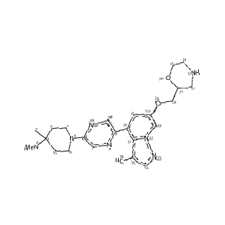 CNC1(C)CCN(c2cnc(-c3cc(OCC4CNCCO4)cn4ncc(C#N)c34)cn2)CC1